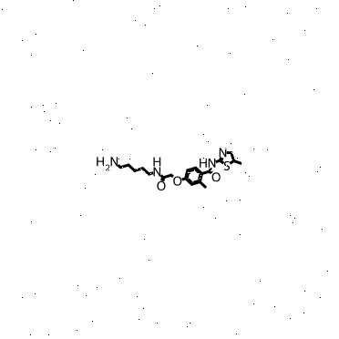 Cc1cc(OCC(=O)NCCCCCN)ccc1C(=O)NC1=NCC(C)S1